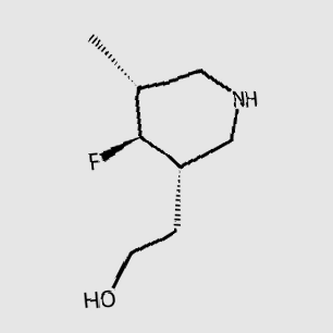 C[C@@H]1CNC[C@H](CCO)[C@H]1F